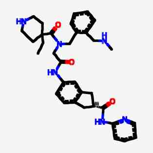 CCC1(C(=O)N(CC(=O)Nc2ccc3c(c2)C[C@H](C(=O)Nc2ccccn2)C3)Cc2ccccc2CNC)CCNCC1